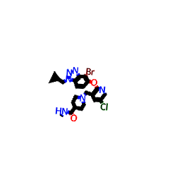 CNC(=O)C1CCN(Cc2cc(Cl)cnc2Oc2ccc3c(nnn3CC3CC3)c2Br)CC1